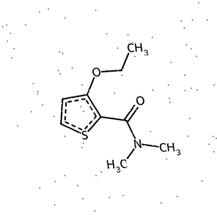 CCOc1ccsc1C(=O)N(C)C